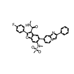 CNC(=O)c1c(-c2ccc(F)cc2)oc2cc(N(C)S(C)(=O)=O)c(-c3ccn4cc(-c5ccccc5)nc4c3)cc12